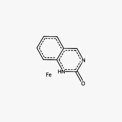 O=c1ncc2ccccc2[nH]1.[Fe]